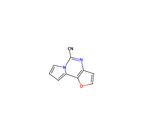 N#Cc1nc2ccoc2c2cccn12